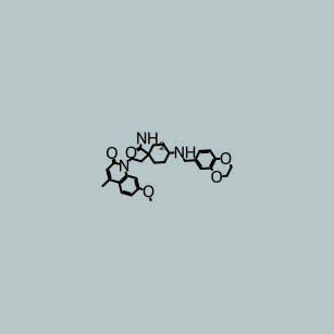 COc1ccc2c(C)cc(=O)n(CCC3(C(N)=O)CCC(NCc4ccc5c(c4)OCCO5)CC3)c2c1